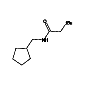 CC(C)(C)CC(=O)NCC1CCCC1